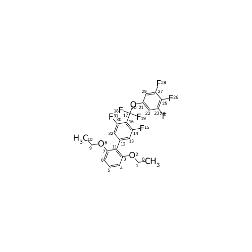 CCOc1cccc(OCC)c1-c1cc(F)c(C(F)(F)Oc2cc(F)c(F)c(F)c2)c(F)c1